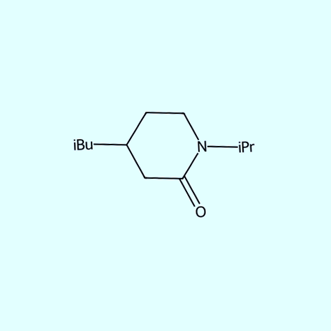 CCC(C)C1CCN(C(C)C)C(=O)C1